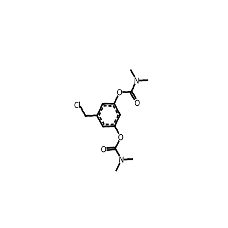 CN(C)C(=O)Oc1cc(CCl)cc(OC(=O)N(C)C)c1